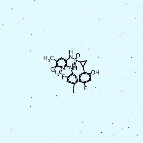 Cc1cc(NS(=O)(=O)C2CC2c2ccc(F)cc2O)c(Nc2ccc(I)cc2F)n(C)c1=O